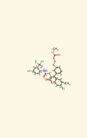 COC(=O)CCCc1cccc(-c2c(CC(=O)Nc3ccc(F)cc3C(F)(F)F)c(=O)oc3cc(Cl)c(C)cc23)c1